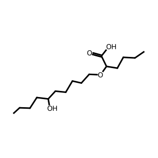 CCCCC(O)CCCCCOC(CCCC)C(=O)O